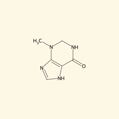 CN1CNC(=O)c2[nH]cnc21